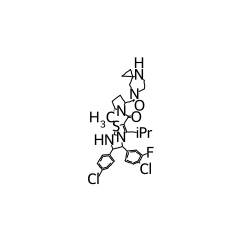 CC(C)C1=C(C(=O)N2C(C(=O)N3CCNC4(CC4)C3)CC[C@H]2C)SC2NC(c3ccc(Cl)cc3)C(c3ccc(Cl)c(F)c3)N12